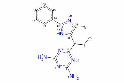 CCC(c1nc(N)nc(N)n1)c1[nH]c(-c2ccccc2)nc1C